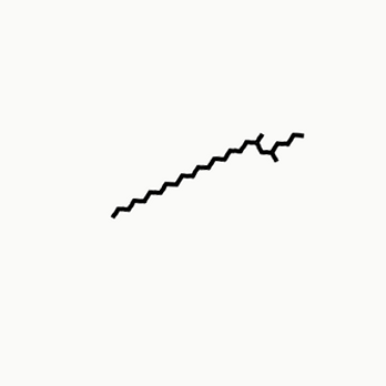 CCCCCCCCCCCCCCCCCCC(C)CC(C)CCCC